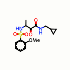 COc1ccccc1S(=O)(=O)NC(C)C(=O)C(=O)NCC1CC1